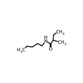 CCCCCNC(=O)C(C)CC